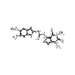 COc1cc2nc(NC(=O)Cn3nnc4c3c(=O)n(C)c(=O)n4C)oc2cc1C